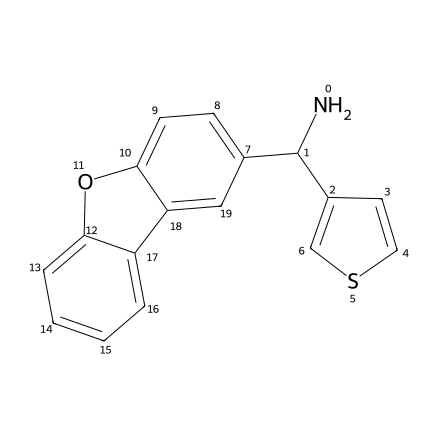 NC(c1ccsc1)c1ccc2oc3ccccc3c2c1